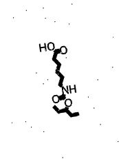 CCC(CC)OC(=O)NCCCCCC(=O)O